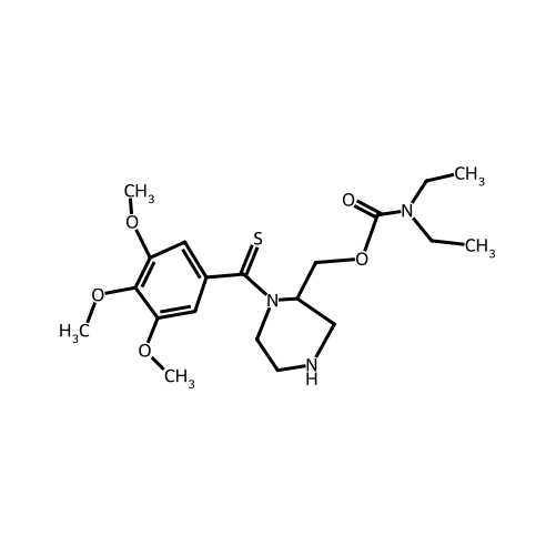 CCN(CC)C(=O)OCC1CNCCN1C(=S)c1cc(OC)c(OC)c(OC)c1